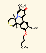 COCCCOc1cc2c(cc1OC)-c1cc(=O)c(C(=O)O)cn1[C@@H]1CCSC[C@@H]21